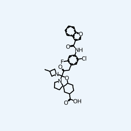 CC1CN(C(OC2CCC(C(=O)O)CC2)(C(=O)Cc2cc(Cl)c(NC(=O)c3coc4ccccc34)cc2F)N2CCCC2)C1